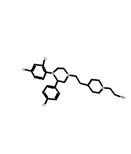 CC(C)(C)CCN1CCC(CCN2CCN(c3ccc(Cl)cc3Cl)C(c3ccc(Cl)cc3)C2)CC1